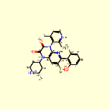 Cc1ccnc(C(C)C)c1-n1c(=O)c(=O)n(C2CCN[C@@H](C)C2)c2cc(F)c(-c3c(O)cccc3F)nc21